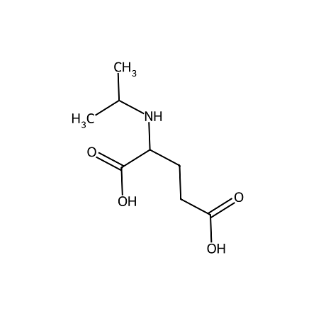 CC(C)NC(CCC(=O)O)C(=O)O